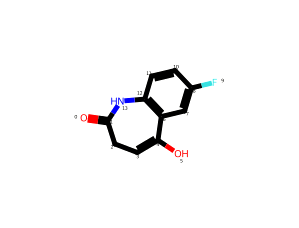 O=C1CC=C(O)c2cc(F)ccc2N1